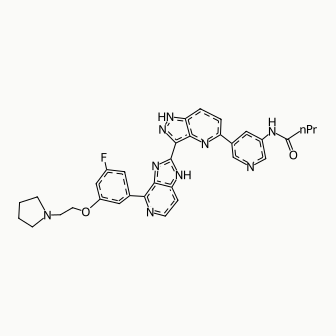 CCCC(=O)Nc1cncc(-c2ccc3[nH]nc(-c4nc5c(-c6cc(F)cc(OCCN7CCCC7)c6)nccc5[nH]4)c3n2)c1